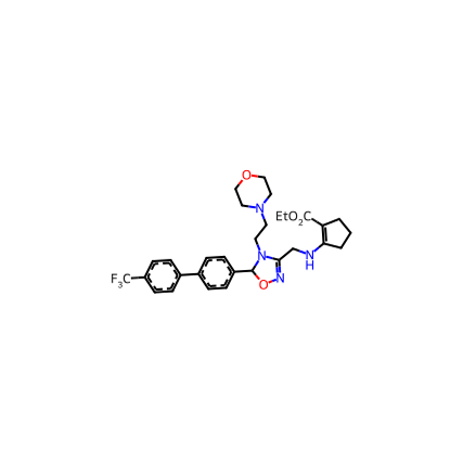 CCOC(=O)C1=C(NCC2=NOC(c3ccc(-c4ccc(C(F)(F)F)cc4)cc3)N2CCN2CCOCC2)CCC1